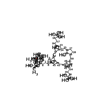 C[Si](O)(O)O[Si](CCCC1CC2CC3CC(CCC[Si](O)(O)O)CC(CC4CCC(CC5CC(CCC[Si](O)(O)O)CC(CC(C1)C2O)C5O)C4O)C3O)(O[Si](C)(O)O)O[Si](C)(O)O